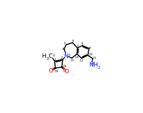 Cc1c(N2CCCc3ccc(CN)cc3C2)c(=O)c1=O